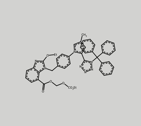 CCOC(=O)OCOC(=O)c1cccc2nc(OCC)n(Cc3ccc(-n4cc(C)cc4-c4nnnn4C(c4ccccc4)(c4ccccc4)c4ccccc4)cc3)c12